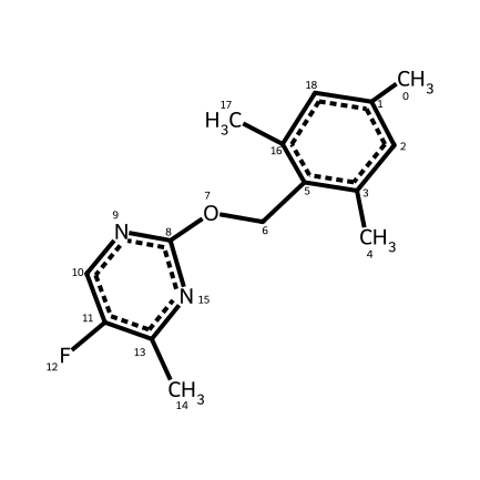 Cc1cc(C)c(COc2ncc(F)c(C)n2)c(C)c1